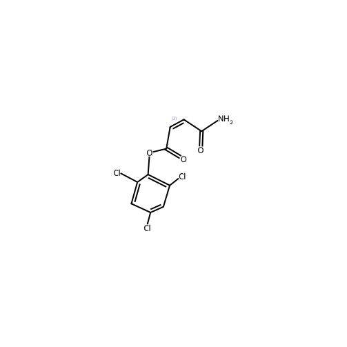 NC(=O)/C=C\C(=O)Oc1c(Cl)cc(Cl)cc1Cl